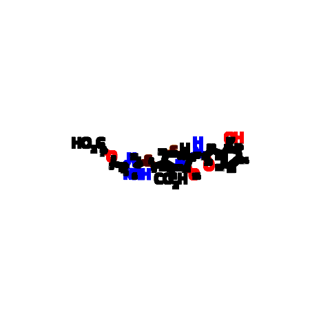 O=C(O)COCc1n[nH]c(SCC2=C(C(=O)O)N3C(=O)C(NC(=O)Cc4ccccc4O)[C@H]3SC2)n1